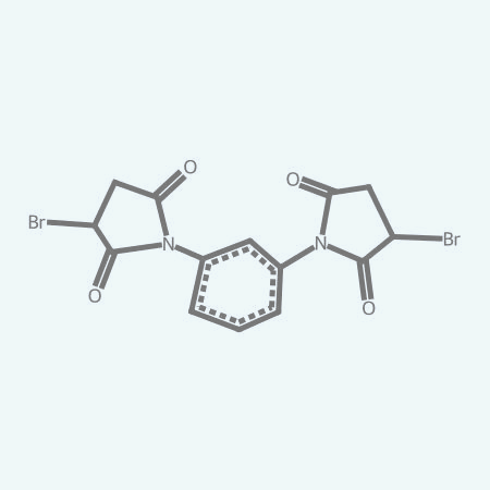 O=C1CC(Br)C(=O)N1c1cccc(N2C(=O)CC(Br)C2=O)c1